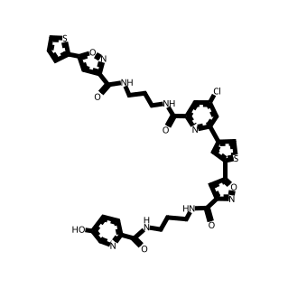 O=C(NCCCNC(=O)c1cc(-c2cc(-c3cc(Cl)cc(C(=O)NCCCNC(=O)c4cc(-c5cccs5)on4)n3)cs2)on1)c1ccc(O)cn1